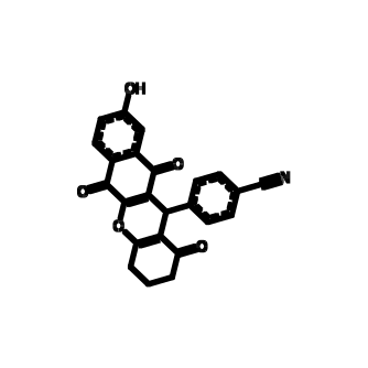 N#Cc1ccc(C2C3=C(CCCC3=O)OC3=C2C(=O)c2cc(O)ccc2C3=O)cc1